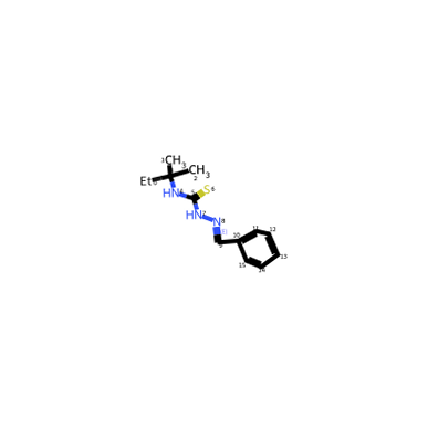 CCC(C)(C)NC(=S)N/N=C/c1ccccc1